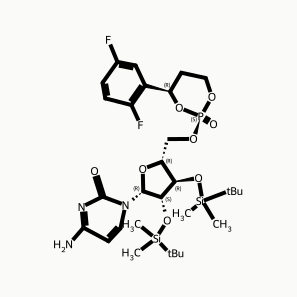 CC(C)(C)[Si](C)(C)O[C@H]1[C@H](O[Si](C)(C)C(C)(C)C)[C@@H](CO[P@]2(=O)OCC[C@H](c3cc(F)ccc3F)O2)O[C@H]1n1ccc(N)nc1=O